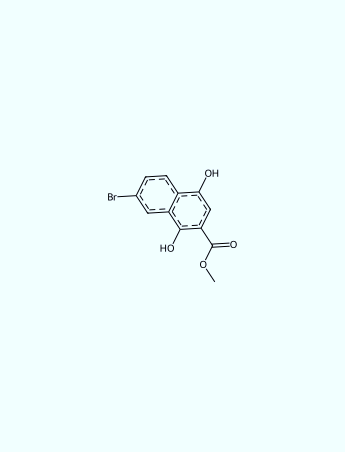 COC(=O)c1cc(O)c2ccc(Br)cc2c1O